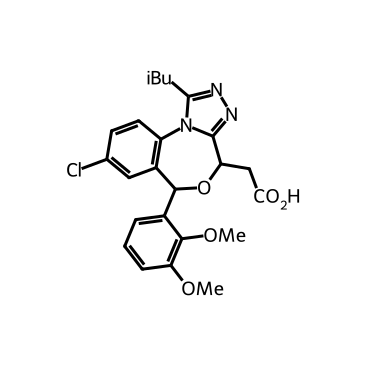 CCC(C)c1nnc2n1-c1ccc(Cl)cc1C(c1cccc(OC)c1OC)OC2CC(=O)O